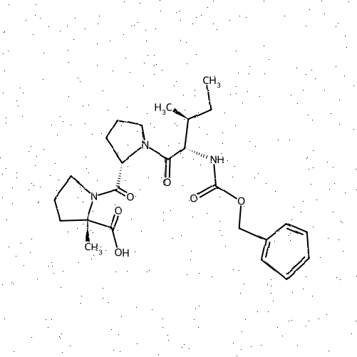 CC[C@H](C)[C@H](NC(=O)OCc1ccccc1)C(=O)N1CCC[C@H]1C(=O)N1CCC[C@@]1(C)C(=O)O